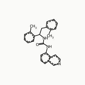 Cc1ccccc1CC(NC(=O)Nc1cccc2cnccc12)c1ccccc1C